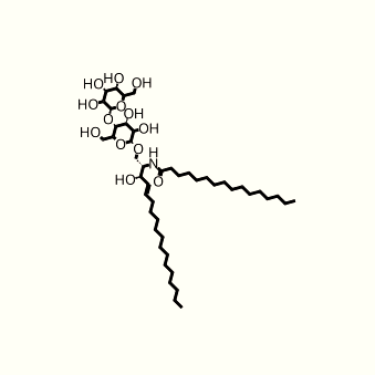 CCCCCCCCCCCCC/C=C/[C@@H](O)[C@H](CO[C@@H]1OC(CO)[C@H](O[C@@H]2OC(CO)[C@H](O)[C@H](O)C2O)[C@H](O)C1O)NC(=O)CCCCCCCCCCCCCCC